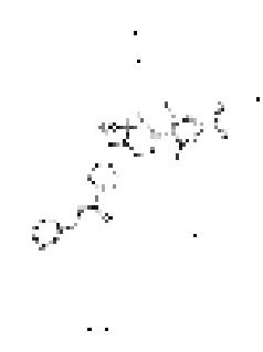 CC1(C)CN(c2c(F)cc([N+](=O)[O-])cc2F)CCN1CC1CCN(C(=O)OCc2ccccc2)CC1